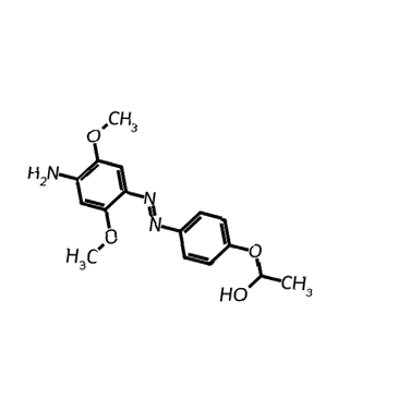 COc1cc(N=Nc2ccc(OC(C)O)cc2)c(OC)cc1N